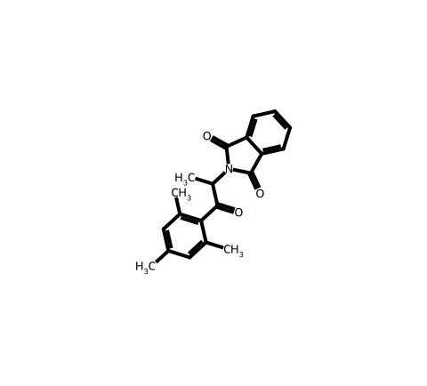 Cc1cc(C)c(C(=O)C(C)N2C(=O)c3ccccc3C2=O)c(C)c1